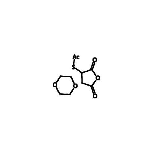 C1COCCO1.CC(=O)SC1CC(=O)OC1=O